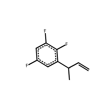 C=C[C](C)c1cc(F)cc(F)c1F